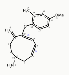 C=C1CC[C@@H](N)C/C=C\C=C/1Oc1ccc(OC)nc1C